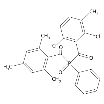 Cc1cc(C)c(C(=O)P(=O)(C(=O)c2c(Cl)ccc(C)c2Cl)c2ccccc2)c(C)c1